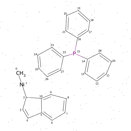 [CH3][Ni][CH]1C=Cc2ccccc21.c1ccc(P(c2ccccc2)c2ccccc2)cc1